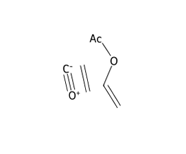 C=C.C=COC(C)=O.[C-]#[O+]